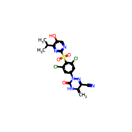 C=C1NC(=O)N(c2cc(Cl)c(S(=O)(=O)c3ncc(O)c(C(C)C)n3)c(Cl)c2)N=C1C#N